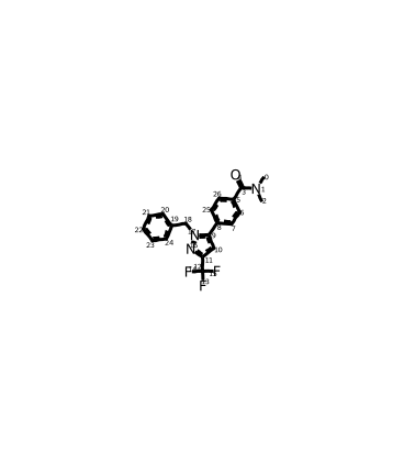 CN(C)C(=O)c1ccc(-c2cc(C(F)(F)F)nn2Cc2ccccc2)cc1